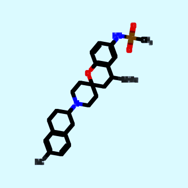 CC(=O)NC1CC2(CCN(C3CCc4cc(C#N)ccc4C3)CC2)Oc2ccc(NS(C)(=O)=O)cc21